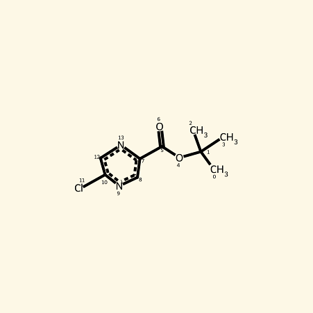 CC(C)(C)OC(=O)c1cnc(Cl)cn1